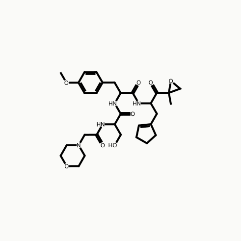 COc1ccc(CC(NC(=O)C(CO)NC(=O)CN2CCOCC2)C(=O)NC(CC2=CCCC2)C(=O)C2(C)CO2)cc1